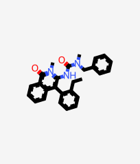 CCc1ccccc1-c1c(NC(=O)N(C)Cc2ccccc2)n(C)c(=O)c2ccccc12